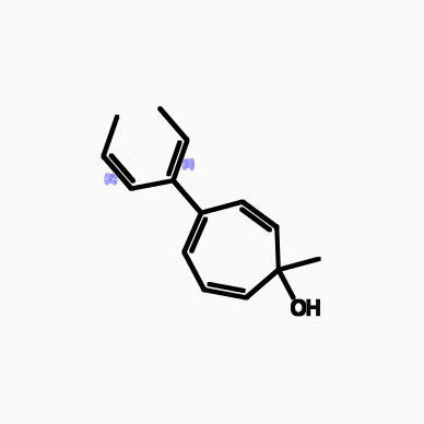 C/C=C\C(=C/C)C1=CC=CC(C)(O)C=C1